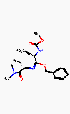 CON(C)C(=O)[C@H](CC(C)C)N=C(OCc1ccccc1)[C@@H](CC(=O)O)NC(=O)OC(C)(C)C